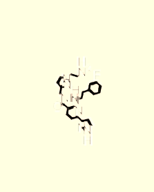 NCCn1ccc(CNC(=O)c2ccc(-c3cc[nH]n3)nc2NCCc2cccc(F)c2)n1